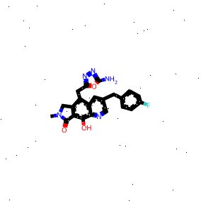 CN1Cc2c(c(O)c3ncc(Cc4ccc(F)cc4)cc3c2Cc2nnc(N)o2)C1=O